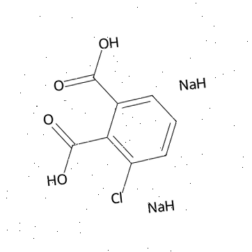 O=C(O)c1cccc(Cl)c1C(=O)O.[NaH].[NaH]